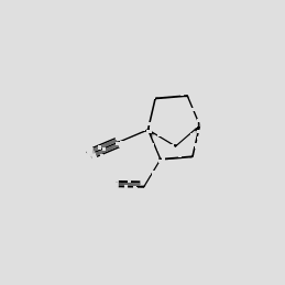 N#CC12CCC(CC1C=O)C2